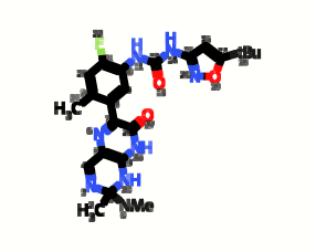 CNC1(C)N=Cc2nc(-c3cc(NC(=O)Nc4cc(C(C)(C)C)on4)c(F)cc3C)c(=O)[nH]c2N1